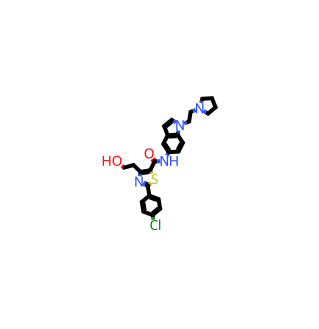 O=C(Nc1ccc2c(ccn2CCN2CCCC2)c1)c1sc(-c2ccc(Cl)cc2)nc1CCO